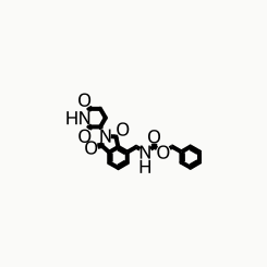 O=C1CCC(N2C(=O)c3cccc(CNC(=O)OCc4ccccc4)c3C2=O)C(=O)N1